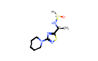 C[C@H](N[S@+]([O-])C(C)(C)C)c1nc(N2CCCCC2)ns1